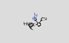 C#Cc1cccc(C(=O)O)c1-c1cn[nH]c1.c1cc2cc-2c1